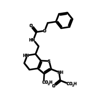 O=C(NCC1NCCc2c1sc(NC(=O)C(=O)O)c2C(=O)O)OCc1ccccc1